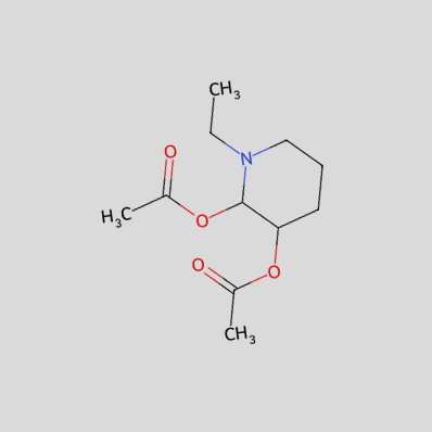 CCN1CCCC(OC(C)=O)C1OC(C)=O